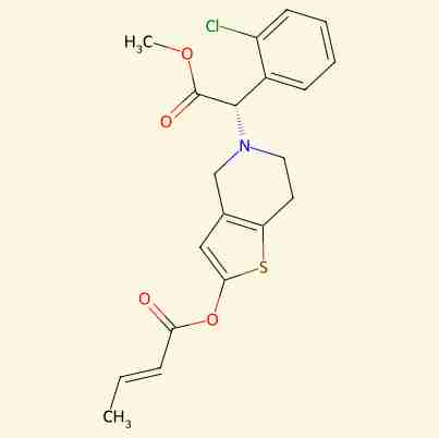 C/C=C/C(=O)Oc1cc2c(s1)CCN([C@H](C(=O)OC)c1ccccc1Cl)C2